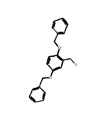 ClCc1cc(OCc2ccccc2)ccc1OCc1ccccc1